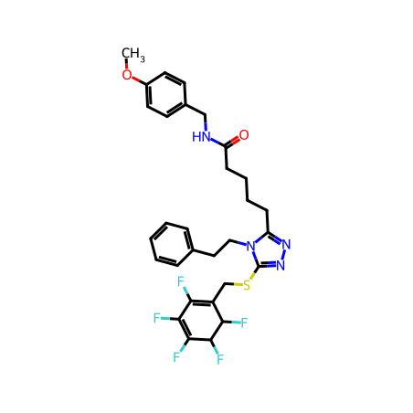 COc1ccc(CNC(=O)CCCCc2nnc(SCC3=C(F)C(F)=C(F)C(F)C3F)n2CCc2ccccc2)cc1